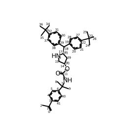 C=C(C)c1ccc(C(C)(C)NC(=O)O[C@H]2CN[C@@H](C(c3ccc(C(C)(C)C)cc3)c3ccc(C(C)(C)C)cc3)C2)cc1